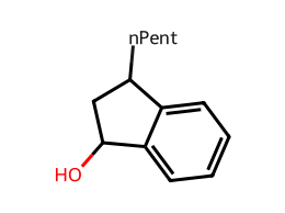 CCCCCC1CC(O)c2ccccc21